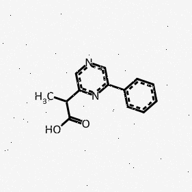 CC(C(=O)O)c1cncc(-c2ccccc2)n1